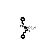 O=C(O)N1C(=O)C(CCc2ccccc2)N2CC1=C2NCCc1ccccc1